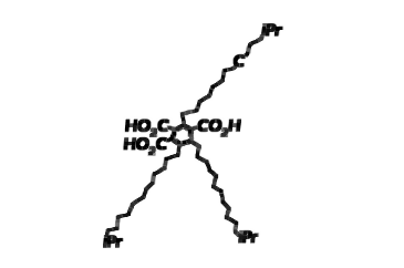 CC(C)CCCCCCCCCCCCc1c(CCCCCCCCCCCCC(C)C)c(C(=O)O)c(C(=O)O)c(CCCCCCCCCCCCC(C)C)c1C(=O)O